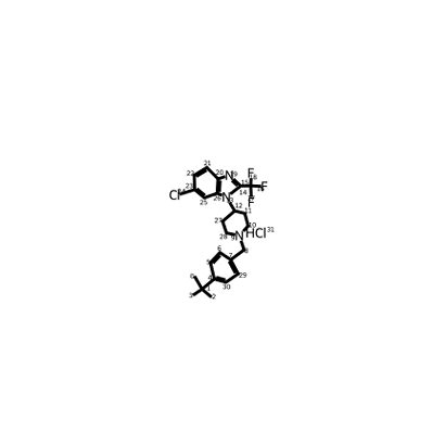 CC(C)(C)c1ccc(CN2CCC(n3c(C(F)(F)F)nc4ccc(Cl)cc43)CC2)cc1.Cl